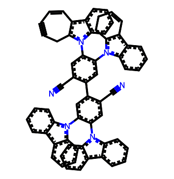 N#Cc1cc(-n2c3c(c4ccccc42)C=CC#CC3)c(-n2c3c(c4ccccc42)C=CCC3)cc1-c1cc(-n2c3ccccc3c3ccccc32)c(-n2c3ccccc3c3ccccc32)cc1C#N